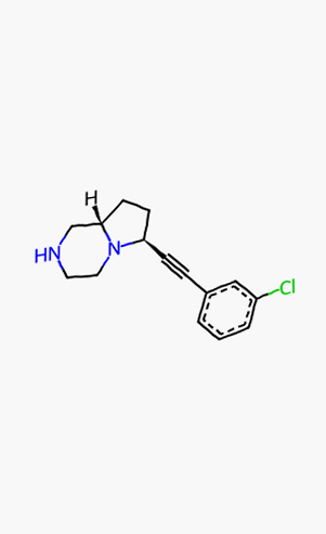 Clc1cccc(C#C[C@@H]2CC[C@H]3CNCCN32)c1